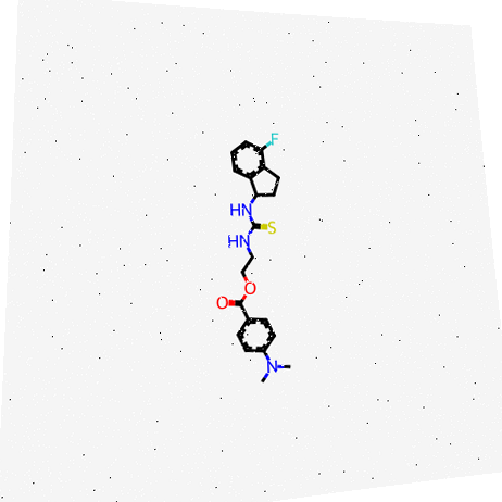 CN(C)c1ccc(C(=O)OCCNC(=S)NC2CCc3c(F)cccc32)cc1